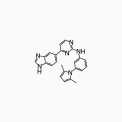 Cc1ccc(C)n1-c1cccc(Nc2nccc(-c3ccc4[nH]cnc4c3)n2)c1